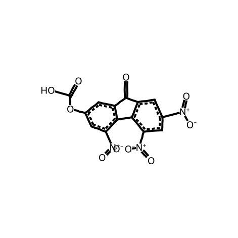 O=C(O)Oc1cc2c(c([N+](=O)[O-])c1)-c1c(cc([N+](=O)[O-])cc1[N+](=O)[O-])C2=O